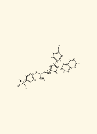 N[C@H](CNc1nc(-c2ccc(F)cc2)c(-c2ccc3cnccc3c2)s1)Cc1ccc(C(F)(F)F)cc1